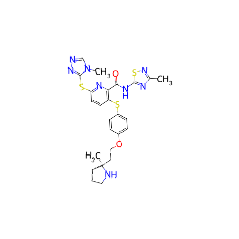 Cc1nsc(NC(=O)c2nc(Sc3nncn3C)ccc2Sc2ccc(OCC[C@]3(C)CCCN3)cc2)n1